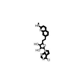 CNc1ccc2ccc(CCC3OC(n4ccc5c(Cl)ncnc54)C(O)C3O)cc2n1